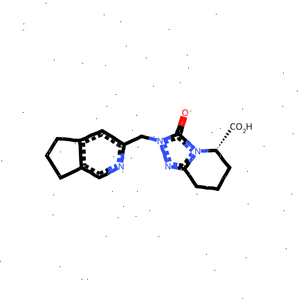 O=C(O)[C@@H]1CCCc2nn(Cc3cc4c(cn3)CCC4)c(=O)n21